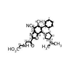 Cc1c(-c2ccccc2)c(N2CC[C@H](N(C)C)C2)c2oc(C(=O)CNCC(=O)O)nc2c1C#N